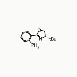 CC(C)(C)[C@H]1COC(c2ccccc2P)=N1